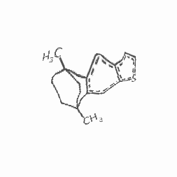 CC12CCC(C)(CC1)c1cc3sccc3cc12